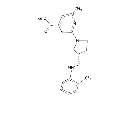 COC(=O)c1cc(C)nc(N2CC[C@H](CNc3ccccc3C(F)(F)F)C2)n1